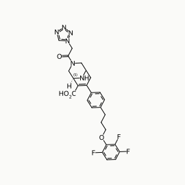 O=C(O)C1=C(c2ccc(CCCOc3c(F)ccc(F)c3F)cc2)CC2CN(C(=O)Cn3cnnn3)C[C@H]1N2